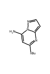 CCCCc1cc(N)n2nccc2n1